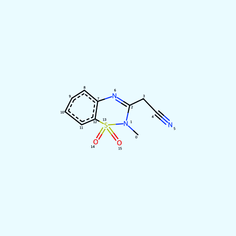 CN1C(CC#N)=Nc2ccccc2S1(=O)=O